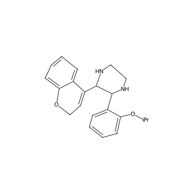 CC(C)Oc1ccccc1C1NCCNC1C1=CCOc2ccccc21